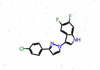 Fc1cc2[nH]cc(-n3ccc(-c4ccc(Cl)cc4)n3)c2cc1F